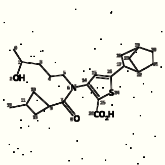 CC(O)CCCN(C(=O)C1CC(C)C1)c1cc(C2CC3CCC2C3)sc1C(=O)O